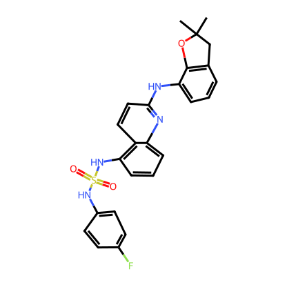 CC1(C)Cc2cccc(Nc3ccc4c(NS(=O)(=O)Nc5ccc(F)cc5)cccc4n3)c2O1